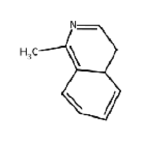 CC1=C2C=CC=CC2CC=N1